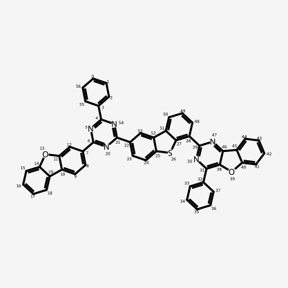 c1ccc(-c2nc(-c3ccc4c(c3)oc3ccccc34)nc(-c3ccc4sc5c(-c6nc(-c7ccccc7)c7oc8ccccc8c7n6)cccc5c4c3)n2)cc1